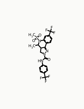 CC1C2CN(C(=O)Nc3ccc(C(F)(F)F)cc3)N=C2c2ccc(C(F)(F)F)cc2N1S(C)(=O)=O